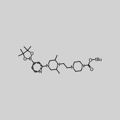 CC1CN(c2cc(B3OC(C)(C)C(C)(C)O3)ccn2)CC(C)N1CCN1CCN(C(=O)OC(C)(C)C)CC1